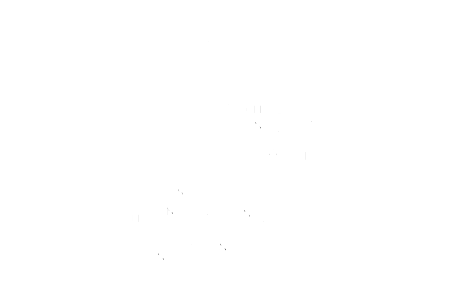 CC(Oc1cc(-c2nn(C)c3c(C#N)cnc(N)c23)ccc1NS(=O)(=O)C(F)F)c1ccc(F)cc1